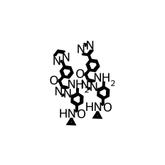 Cc1ccc(C(=O)NC2CC2)cc1-n1cnc(C(=O)c2cccc(-c3cncnc3)c2)c1N.Cc1ccc(C(=O)NC2CC2)cc1-n1cnc(C(=O)c2cccc(-c3ncccn3)c2)c1N